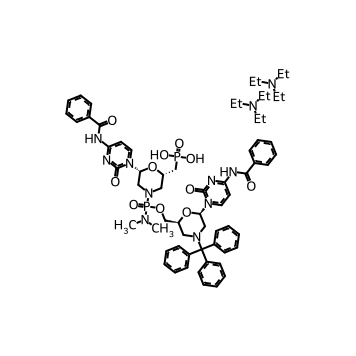 CCN(CC)CC.CCN(CC)CC.CN(C)P(=O)(OC[C@@H]1CN(C(c2ccccc2)(c2ccccc2)c2ccccc2)C[C@H](n2ccc(NC(=O)c3ccccc3)nc2=O)O1)N1C[C@@H](CP(=O)(O)O)O[C@@H](n2ccc(NC(=O)c3ccccc3)nc2=O)C1